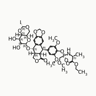 CCOC(=O)[C@H](C)NP(=O)(COC)Oc1c(OC)cc([C@@H]2c3cc4c(cc3[C@@H](O[C@@H]3O[C@@H]5CO[C@@H](I)O[C@H]5[C@H](O)[C@H]3O)[C@H]3COC(=O)[C@H]23)OCO4)cc1OC